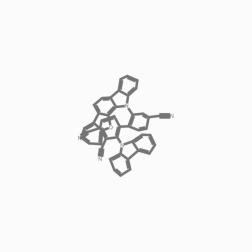 N#Cc1ccc(-c2ccc(C#N)c(C#N)c2-n2c3ccccc3c3ccccc32)c(-n2c3ccccc3c3ccc4c5ccccc5oc4c32)c1